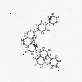 c1ccc(-c2ccc(-c3ccc4ccc5ccc(-c6ccc7c8c(cccc68)-c6ccccc6-7)nc5c4n3)cc2)nc1